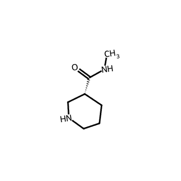 CNC(=O)[C@@H]1CCCNC1